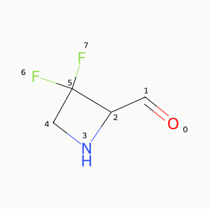 O=CC1NCC1(F)F